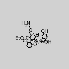 CCOC(=O)C1=C(COCCN)NC(C)=C(C(=O)OC)[C@@H]1c1ccccc1Cl.O=C(O)c1cc(O)ccc1O